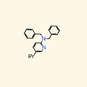 CC(C)c1ccc(N(Cc2ccccc2)Cc2ccccc2)nc1